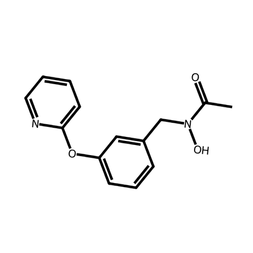 CC(=O)N(O)Cc1cccc(Oc2ccccn2)c1